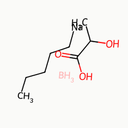 B.CC(O)C(=O)O.CCCC[CH2][Na]